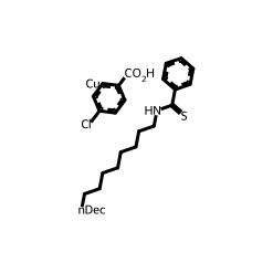 CCCCCCCCCCCCCCCCCCNC(=S)c1ccccc1.O=C(O)c1ccc(Cl)cc1.[Cu]